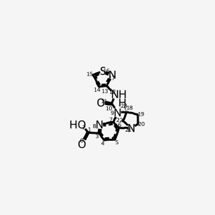 O=C(O)c1ccc2c(n1)N(C(=O)Nc1ccsn1)[C@H]1CCN2C1